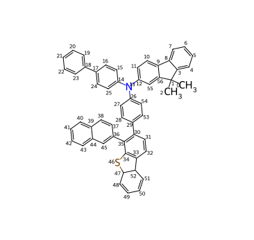 CC1(C)c2ccccc2-c2ccc(N(c3ccc(-c4ccccc4)cc3)c3ccc(-c4ccc5c(c4-c4ccc6ccccc6c4)SC4C=CC=CC54)cc3)cc21